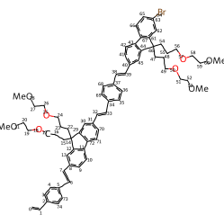 C=Cc1ccc(/C=C/c2ccc3c(c2)C(CCCOCCOC)(CCCOCCOC)c2cc(/C=C/c4ccc(/C=C/c5ccc6c(c5)C(CCCOCCOC)(CCCOCCOC)c5cc(Br)ccc5-6)cc4)ccc2-3)cc1